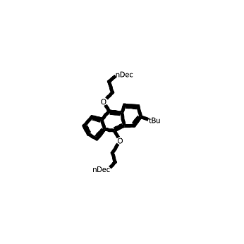 CCCCCCCCCCCCOc1c2ccccc2c(OCCCCCCCCCCCC)c2cc(C(C)(C)C)ccc12